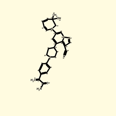 C=C(C(N)=O)c1ccc(N2CCC(c3cc(N4C=CC=CC(C)(O)C4)cn4ncc(C#N)c34)CC2)cc1